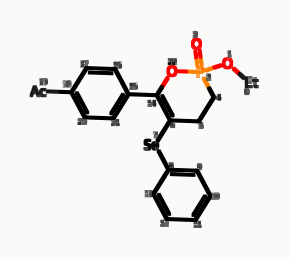 CCOP1(=O)CCC([Se]c2ccccc2)=C(c2ccc(C(C)=O)cc2)O1